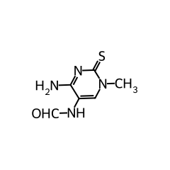 Cn1cc(NC=O)c(N)nc1=S